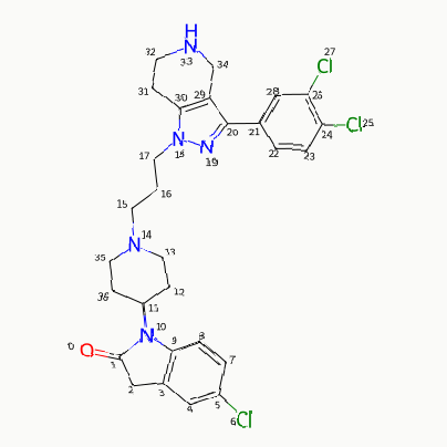 O=C1Cc2cc(Cl)ccc2N1C1CCN(CCCn2nc(-c3ccc(Cl)c(Cl)c3)c3c2CCNC3)CC1